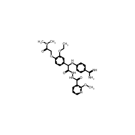 CCOc1cc(C(Nc2ccc(C(=N)N)cc2)C(=O)NNC(=O)c2cccnc2OC)ccc1OCC(=O)N(C)C